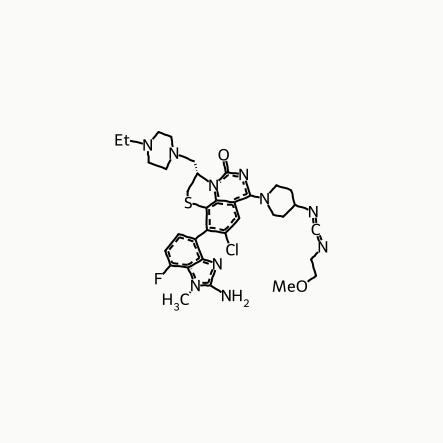 CCN1CCN(C[C@H]2CSc3c(-c4ccc(F)c5c4nc(N)n5C)c(Cl)cc4c(N5CCC(N=C=NCCOC)CC5)nc(=O)n2c34)CC1